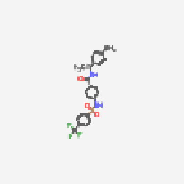 Bc1ccc([C@@H](C)NC(=O)[C@H]2CC[C@H](NS(=O)(=O)c3ccc(C(F)(F)F)cc3)CC2)cc1